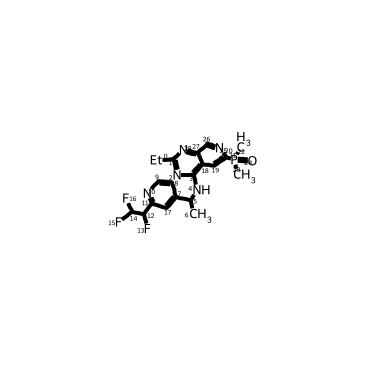 CCc1nc(NC(C)c2ccnc(C(F)C(F)F)c2)c2cc(P(C)(C)=O)ncc2n1